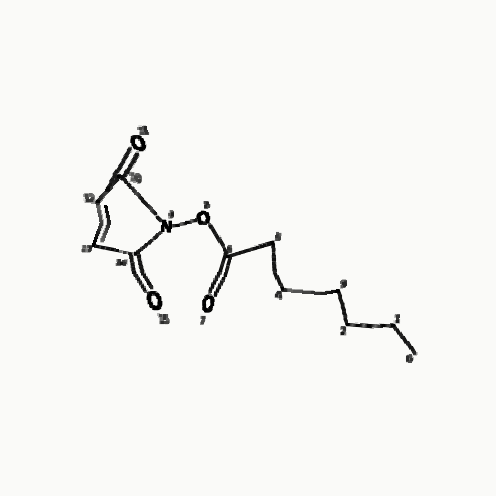 CCCCCCC(=O)ON1C(=O)C=CC1=O